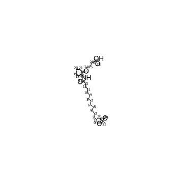 CC(CCCCCCCCCCCCC(=O)Nc1ccccc1OCCCC(=O)O)CS(C)(=O)=O